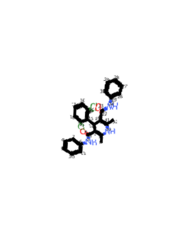 CC1=C(C(=O)Nc2ccccc2)C(c2c(Cl)cccc2Cl)C(C(=O)Nc2ccccc2)=C(C)N1